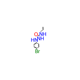 C=CCNC(=O)NNc1ccc(Br)cc1